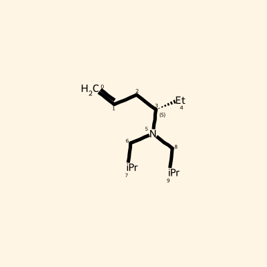 C=CC[C@H](CC)N(CC(C)C)CC(C)C